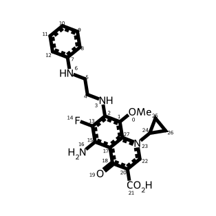 COc1c(NCCNc2ccccc2)c(F)c(N)c2c(=O)c(C(=O)O)cn(C3CC3)c12